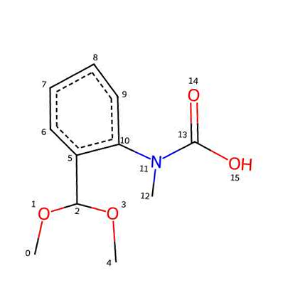 COC(OC)c1ccccc1N(C)C(=O)O